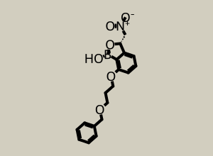 O=[N+]([O-])C[C@H]1OB(O)c2c(OCCCOCc3ccccc3)cccc21